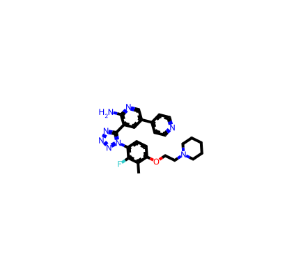 Cc1c(OCCN2CCCCC2)ccc(-n2nnnc2-c2cc(-c3ccncc3)cnc2N)c1F